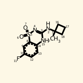 CC1(NC2=NS(=O)(=O)c3cc(F)ccc3N2)CCC1